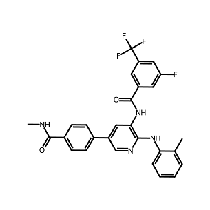 CNC(=O)c1ccc(-c2cnc(Nc3ccccc3C)c(NC(=O)c3cc(F)cc(C(F)(F)F)c3)c2)cc1